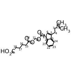 CN(C)CCc1cn(C(=O)OCOC(=O)CCCCC(=O)O)c2ccccc12